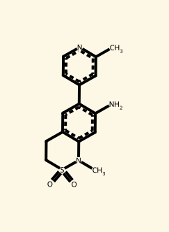 Cc1cc(-c2cc3c(cc2N)N(C)S(=O)(=O)CC3)ccn1